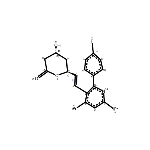 CC(C)c1cc(C(C)C)c(/C=C/[C@@H]2C[C@@H](O)CC(=O)O2)c(-c2ccc(F)cc2)n1